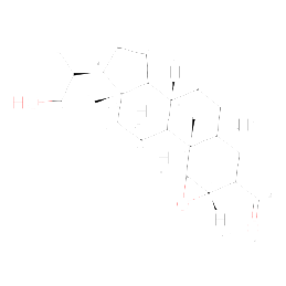 CC(CO)[C@H]1CC[C@H]2[C@@H]3CC[C@H]4CC(C=O)[C@@H]5OC5[C@]4(C)[C@H]3CC[C@]12C